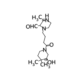 C[C@@H]1NCCN(CCCC(=O)N2CCC(C)(C)[C@H](O)C2)C1C=O